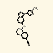 Cn1cc(-n2ncc3ccc(NC4CCCc5cc(C#N)ccc54)cc32)cn1